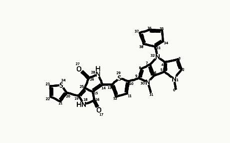 Cn1ccc2c1c1c(cc(-c3ccc(C4=C5C(=O)NC(c6cccs6)=C5C(=O)N4)s3)n1C)n2-c1ccccc1